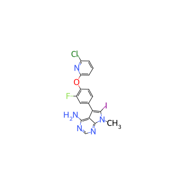 Cn1c(I)c(-c2ccc(Oc3cccc(Cl)n3)c(F)c2)c2c(N)ncnc21